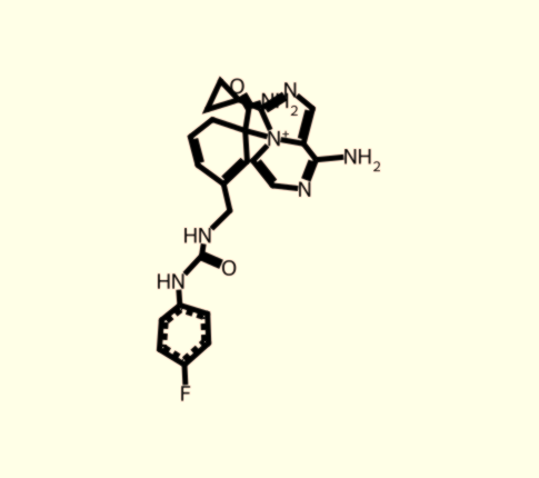 NC(=O)C1([N+]23C=CN=C(N)C2=CN=C3C2CC2)C=C(CNC(=O)Nc2ccc(F)cc2)C=CC1